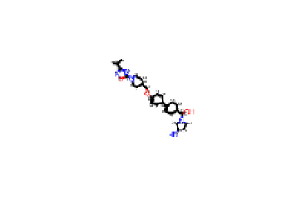 CC(C)c1noc(N2CCC(COC3=CCC(C4=CCC(C(O)N5CCC(=N)C5)CC4)C=C3)CC2)n1